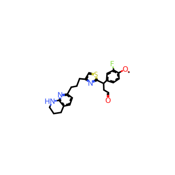 COc1ccc(C(CC=O)c2nc(CCCc3ccc4c(n3)NCCC4)cs2)cc1F